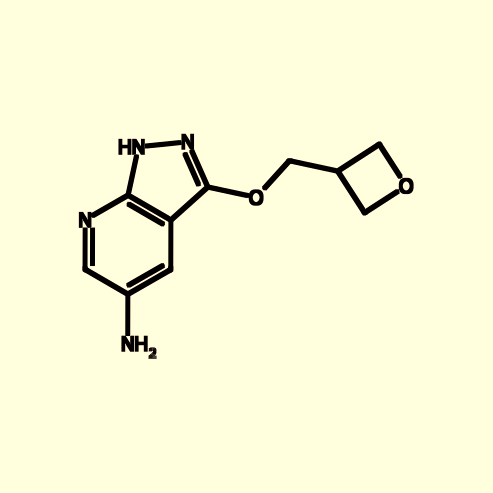 Nc1cnc2[nH]nc(OCC3COC3)c2c1